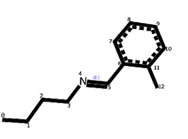 CCCC/N=C/c1ccccc1C